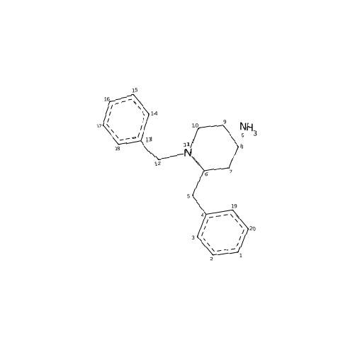 N.c1ccc(CC2CCCCN2Cc2ccccc2)cc1